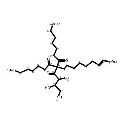 CCCCCCCCC=CCCCCCCC(C(=O)CCCCCCCCCCCCCCC)(C(=O)CCCCCCCCCCCCCCC)C(=O)C(O)C(O)CO